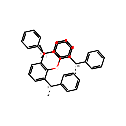 C[C@@H](c1ccccc1)c1cccc([C@@H](C)c2ccccc2)c1Oc1c([C@@H](C)c2ccccc2)cccc1[C@@H](C)c1ccccc1